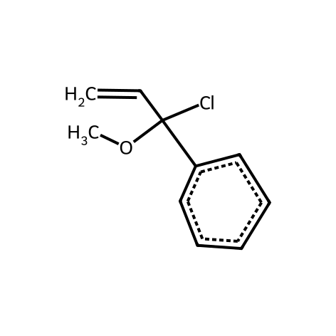 C=CC(Cl)(OC)c1ccccc1